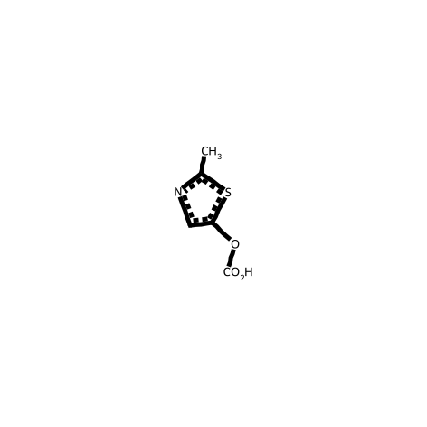 Cc1ncc(OC(=O)O)s1